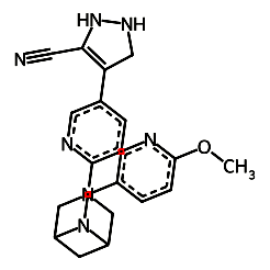 COc1ccc(CN2C3CC2CN(c2ccc(C4=C(C#N)NNC4)cn2)C3)cn1